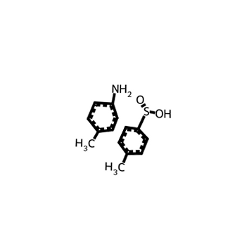 Cc1ccc(N)cc1.Cc1ccc(S(=O)O)cc1